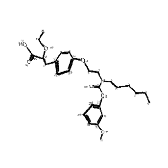 CCCCCCN(CCOc1ccc(CC(OCC)C(=O)O)cc1)C(=O)Oc1cccc(OC)c1